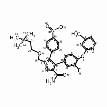 Cc1ccnc(Oc2ccc(-c3c(C(N)=O)nn(COCC[Si](C)(C)C)c3-c3ccc([N+](=O)[O-])cc3)cc2F)n1